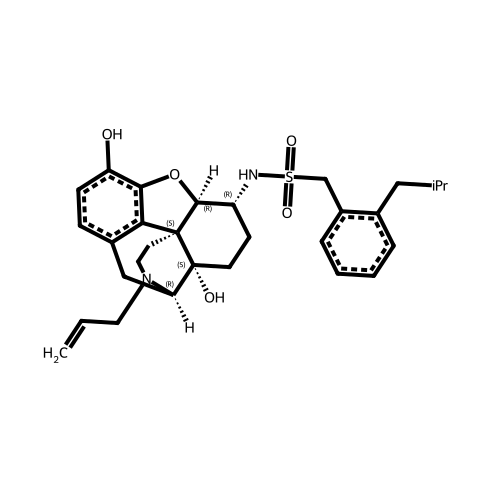 C=CCN1CC[C@]23c4c5ccc(O)c4O[C@H]2[C@H](NS(=O)(=O)Cc2ccccc2CC(C)C)CC[C@@]3(O)[C@H]1C5